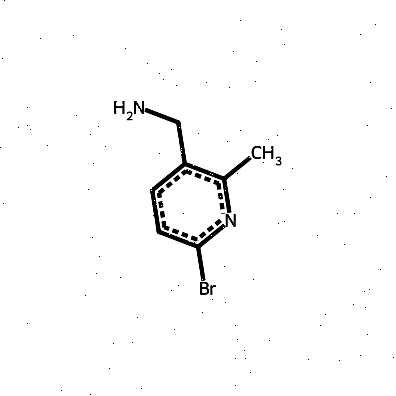 Cc1nc(Br)ccc1CN